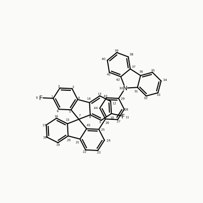 Fc1ccc2c(c1)C1(c3cc(F)ccc3-2)c2ccccc2-c2cccc(-c3ccc(-n4c5ccccc5c5ccccc54)cc3)c21